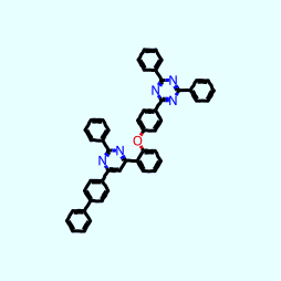 c1ccc(-c2ccc(-c3cc(-c4ccccc4Oc4ccc(-c5nc(-c6ccccc6)nc(-c6ccccc6)n5)cc4)nc(-c4ccccc4)n3)cc2)cc1